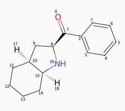 O=C(c1ccccc1)[C@@H]1C[C@@H]2CCCC[C@@H]2N1